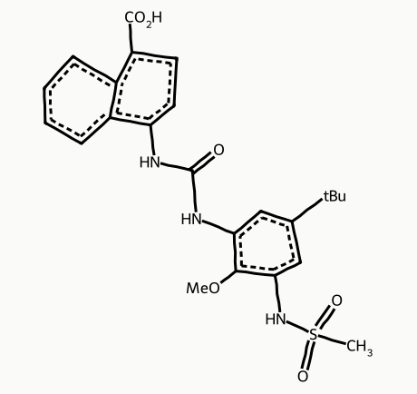 COc1c(NC(=O)Nc2ccc(C(=O)O)c3ccccc23)cc(C(C)(C)C)cc1NS(C)(=O)=O